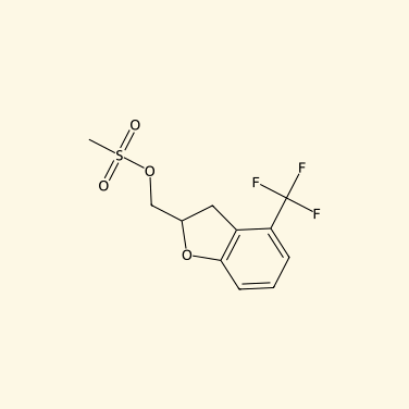 CS(=O)(=O)OCC1Cc2c(cccc2C(F)(F)F)O1